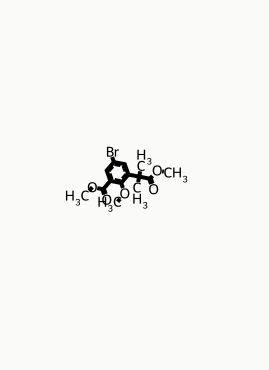 COC(=O)c1cc(Br)cc(C(C)(C)C(=O)OC)c1OC